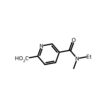 CCN(C)C(=O)c1ccc(C(=O)O)nc1